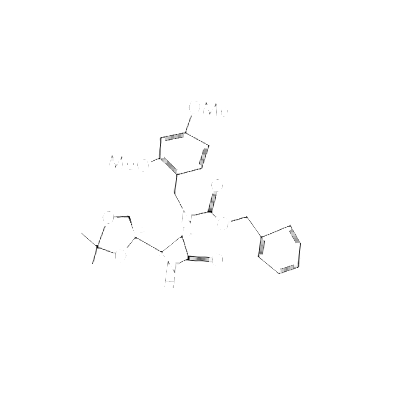 COc1ccc(CN(C(=O)OCc2ccccc2)[C@@H]2C(=O)N[C@@H]2[C@@H]2COC(C)(C)O2)c(OC)c1